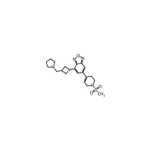 CS(=O)(=O)N1CC=C(c2cc(N3CC(CN4CCCC4)C3)c3nonc3c2)CC1